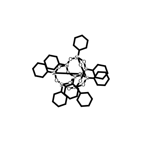 C1CCC([Si]23O[Si]4(C5CCCCC5)O[Si]5(C6CCCCC6)O[Si](C6CCCCC6)(O2)O[Si]2(C6CCCCC6)O[Si](C6CCCCC6)(O3)O[Si](C3CCCCC3)(O4)O[Si](C3CCCCC3)(O5)O2)CC1